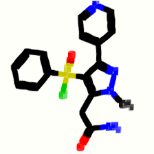 Cn1nc(-c2ccncc2)c([SH](=O)(Cl)c2ccccc2)c1CC(N)=O